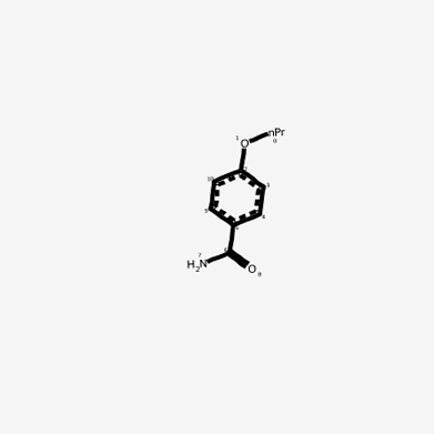 CCCOc1ccc(C(N)=O)cc1